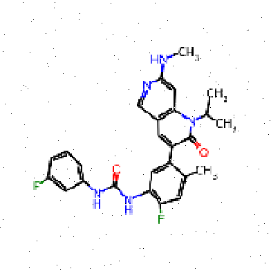 CNc1cc2c(cn1)cc(-c1cc(NC(=O)Nc3cccc(F)c3)c(F)cc1C)c(=O)n2C(C)C